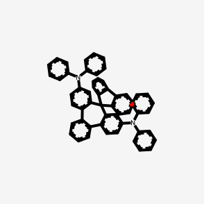 c1ccc(N(c2ccccc2)c2ccc3c(c2)C2(c4cc(N(c5ccccc5)c5ccccc5)ccc4-c4ccccc4-3)c3ccccc3-c3ccccc32)cc1